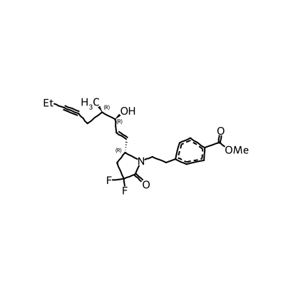 CCC#CC[C@@H](C)[C@@H](O)C=C[C@H]1CC(F)(F)C(=O)N1CCc1ccc(C(=O)OC)cc1